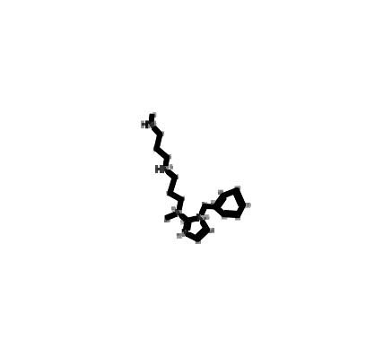 CNCCCNCCCN(C)c1nccn1Cc1ccccc1